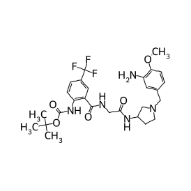 COc1ccc(CN2CCC(NC(=O)CNC(=O)c3cc(C(F)(F)F)ccc3NC(=O)OC(C)(C)C)C2)cc1N